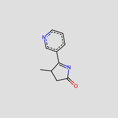 C[C]1CC(=O)N=C1c1cccnc1